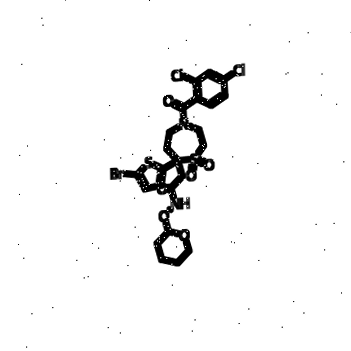 O=C(CC1(c2ccc(Br)s2)CCN(C(=O)c2ccc(Cl)cc2Cl)CCS1(=O)=O)NOC1CCCCO1